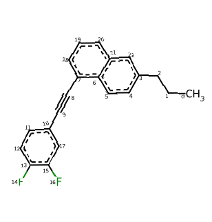 CCCc1ccc2c(C#Cc3ccc(F)c(F)c3)cccc2c1